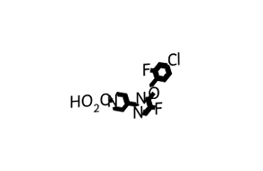 O=C(O)N1CC=C(c2ncc(F)c(OCc3ccc(Cl)cc3F)n2)CC1